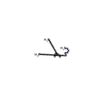 CC/C=C\C/C=C\C/C=C\C/C=C\C/C=C\CCCCCC(=O)OC[C@@H](COC(=O)CCCCCCCCCCCCCCCCCC)OC(=O)CCCCCCCCCCCCCCCCCC